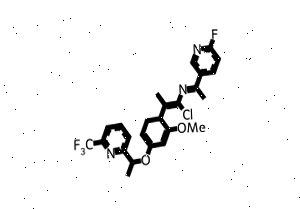 COC1=CC(OC(C)c2cccc(C(F)(F)F)n2)=CCC1/C(C)=C(Cl)/N=C(\C)c1ccc(F)nc1